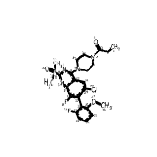 C=CC(=O)N1CCN(c2nc(P(C)(C)=O)nc3c(F)c(-c4c(F)cccc4OC)c(Cl)cc23)CC1